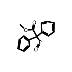 COC(=O)C(P=O)(c1ccccc1)c1ccccc1